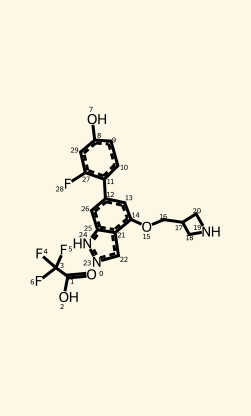 O=C(O)C(F)(F)F.Oc1ccc(-c2cc(OCC3CNC3)c3cn[nH]c3c2)c(F)c1